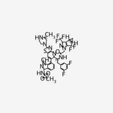 C[C@H]1CN(c2nc3nc([C@H](Cc4cc(F)cc(F)c4)NC(=O)Cn4nc(C(F)(F)F)c5c4C(F)(F)[C@@H]4C[C@H]54)c(-c4cccc5c(NS(C)(=O)=O)nn(C)c45)cc3s2)CCN1